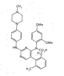 COc1ccc(N(C(=O)O)c2nc(Nc3ccc(N4CCN(C)CC4)cc3)ncc2-c2c(C)cccc2C)c(OC)c1